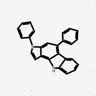 c1ccc(-c2cc3c(ccn3-c3ccccc3)c3[nH]c4ccccc4c23)cc1